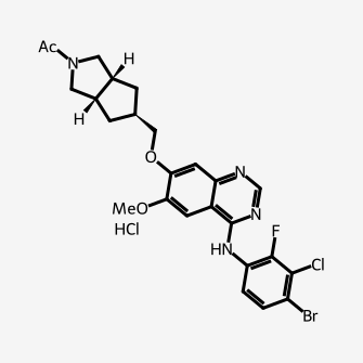 COc1cc2c(Nc3ccc(Br)c(Cl)c3F)ncnc2cc1OC[C@H]1C[C@@H]2CN(C(C)=O)C[C@@H]2C1.Cl